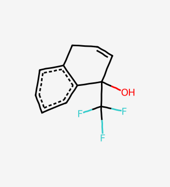 OC1(C(F)(F)F)C=CCc2ccccc21